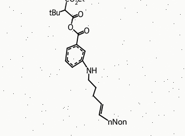 CCCCCCCCCC=CCCCNc1cccc(C(=O)OC(=O)C(C(=O)OCC)C(C)(C)C)c1